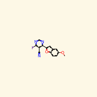 COc1ccc2oc(-c3ncnc(I)c3C#N)cc2c1